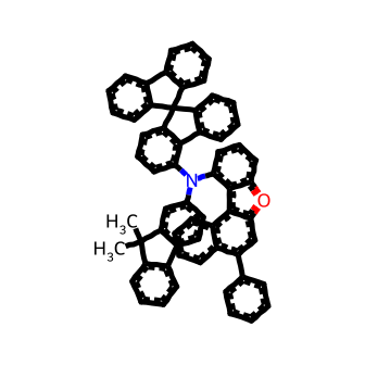 CC1(C)c2ccccc2-c2ccc(N(c3cccc4c3-c3ccccc3C43c4ccccc4-c4ccccc43)c3cccc4oc5cc(-c6ccccc6)c6ccccc6c5c34)cc21